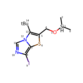 C[SiH](C)OCc1sc2c(I)ncn2c1C(C)(C)C